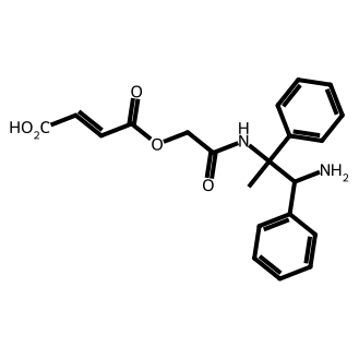 CC(NC(=O)COC(=O)/C=C/C(=O)O)(c1ccccc1)C(N)c1ccccc1